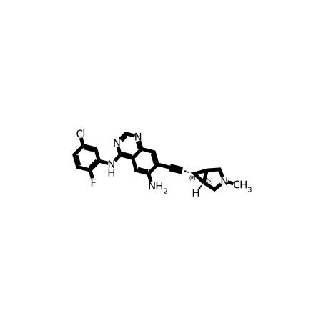 CN1CC2[C@@H](C#Cc3cc4ncnc(Nc5cc(Cl)ccc5F)c4cc3N)[C@@H]2C1